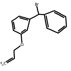 C=CCOc1cccc(C(Br)c2ccccc2)c1